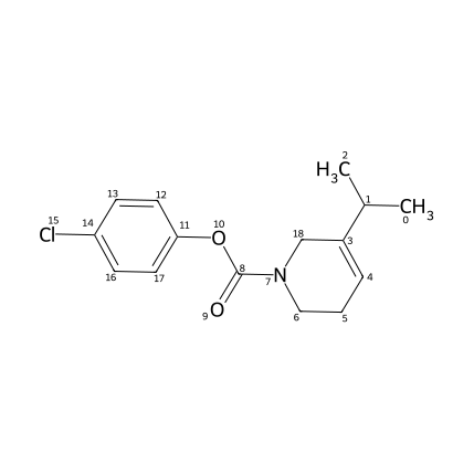 CC(C)C1=CCCN(C(=O)Oc2ccc(Cl)cc2)C1